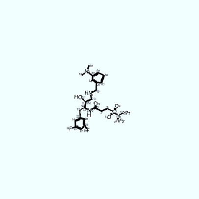 CCCN(CCC)S(=O)(=O)CCC(=O)N[C@@H](Cc1cc(F)cc(F)c1)[C@@H](O)CNCc1cccc(N(C)C)c1